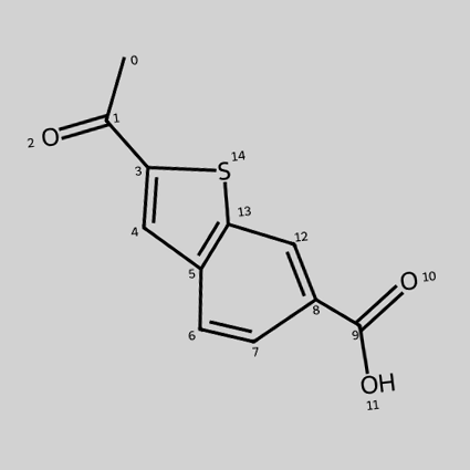 CC(=O)c1cc2ccc(C(=O)O)cc2s1